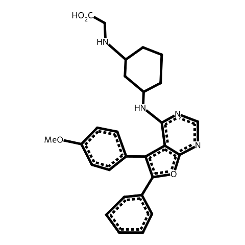 COc1ccc(-c2c(-c3ccccc3)oc3ncnc(NC4CCCC(NCC(=O)O)C4)c23)cc1